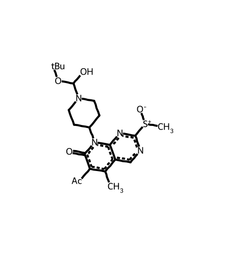 CC(=O)c1c(C)c2cnc([S+](C)[O-])nc2n(C2CCN(C(O)OC(C)(C)C)CC2)c1=O